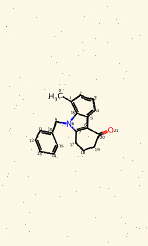 Cc1cccc2c3c(n(Cc4ccccc4)c12)CCCC3=O